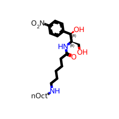 CCCCCCCCNCCCCCC(=O)N[C@H](CO)[C@H](O)c1ccc([N+](=O)[O-])cc1